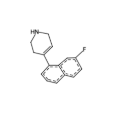 Fc1ccc2cccc(C3=CCNCC3)c2c1